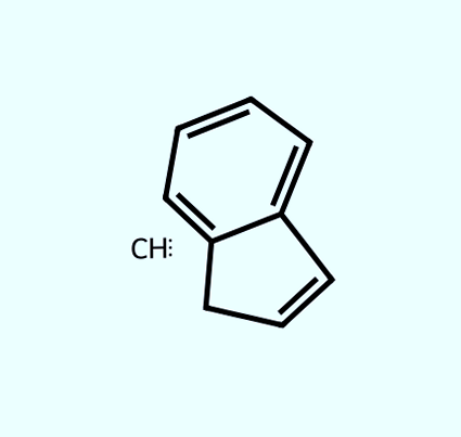 C1=Cc2ccccc2C1.[CH]